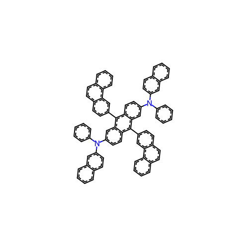 c1ccc(N(c2ccc3ccccc3c2)c2ccc3c(-c4ccc5ccc6ccccc6c5c4)c4cc(N(c5ccccc5)c5ccc6ccccc6c5)ccc4c(-c4ccc5ccc6ccccc6c5c4)c3c2)cc1